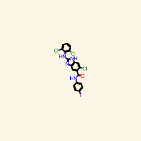 O=C(Nc1ccc(I)cc1)c1cc2nc(Nc3c(Cl)cccc3Cl)[nH]c2cc1Cl